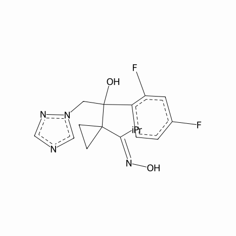 CC(C)/C(=N\O)C1(C(O)(Cn2cncn2)c2ccc(F)cc2F)CC1